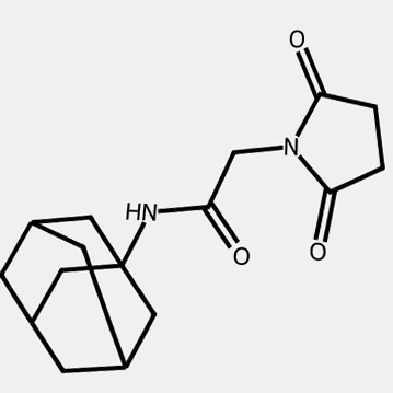 O=C(CN1C(=O)CCC1=O)NC12CC3CC(CC(C3)C1)C2